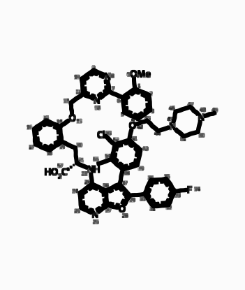 COc1ccccc1-c1nccc(COc2ccccc2C[C@H](Nc2ccnc3oc(-c4ccc(F)cc4)c(-c4ccc(OCCN5CCN(C)CC5)c(Cl)c4C)c23)C(=O)O)n1